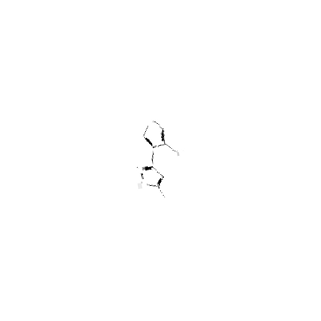 CC(C)c1cscc1-c1cc(S)[nH]n1